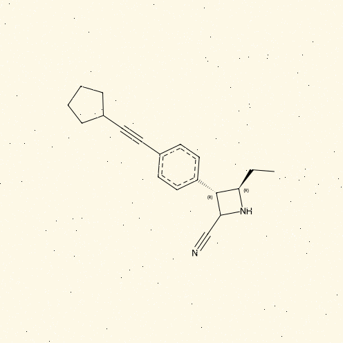 CC[C@H]1NC(C#N)[C@@H]1c1ccc(C#CC2CCCC2)cc1